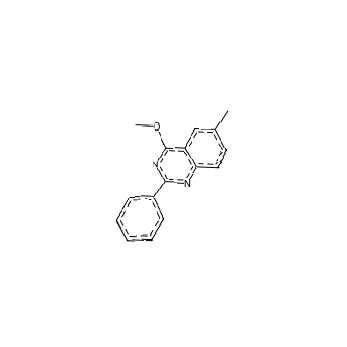 COc1nc(-c2ccccc2)nc2ccc(C)cc12